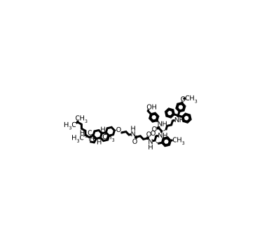 COc1ccc(C(NCCCC[C@H](NC(=O)[C@H](Cc2ccc(C)cc2)NC(=O)CCC(=O)NCCCO[C@H]2CC[C@@]3(C)C(=CC[C@H]4[C@@H]5CC[C@H]([C@H](C)CCCC(C)C)[C@@]5(C)CC[C@@H]43)C2)C(=O)Nc2ccc(CO)cc2)(c2ccccc2)c2ccccc2)cc1